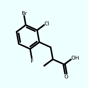 CC(Cc1c(F)ccc(Br)c1Cl)C(=O)O